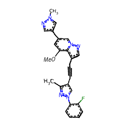 COc1cc(-c2cnn(C)c2)cn2ncc(C#Cc3cn(-c4ccccc4F)nc3C)c12